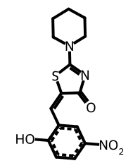 O=C1N=C(N2CCCCC2)S/C1=C/c1cc([N+](=O)[O-])ccc1O